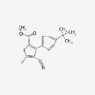 COC(=O)c1sc(I)c(C#N)c1-c1ccc(C(C)(C)C)cc1